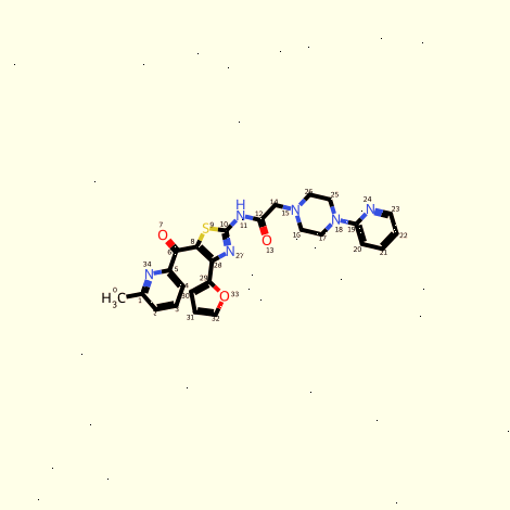 Cc1cccc(C(=O)c2sc(NC(=O)CN3CCN(c4ccccn4)CC3)nc2-c2ccco2)n1